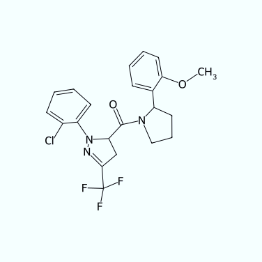 COc1ccccc1C1CCCN1C(=O)C1CC(C(F)(F)F)=NN1c1ccccc1Cl